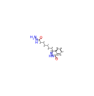 NNC(=O)CCCCCCc1n[nH]c(=O)c2ccccc12